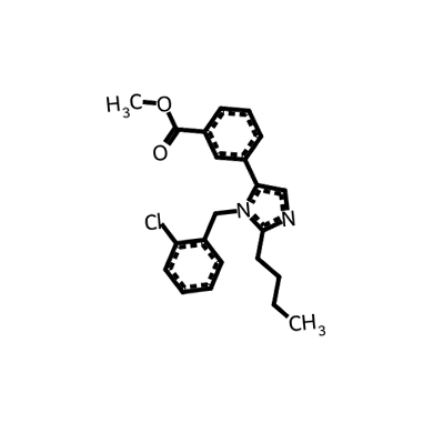 CCCCc1ncc(-c2cccc(C(=O)OC)c2)n1Cc1ccccc1Cl